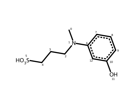 CN(CCCS(=O)(=O)O)c1cccc(O)c1